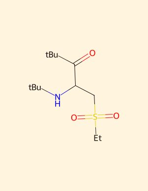 CCS(=O)(=O)CC(NC(C)(C)C)C(=O)C(C)(C)C